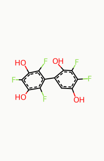 Oc1cc(-c2c(F)c(O)c(F)c(O)c2F)c(O)c(F)c1F